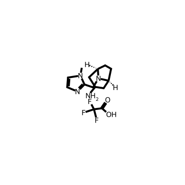 Cn1ccnc1CN1[C@@H]2CC[C@H]1CC(N)C2.O=C(O)C(F)(F)F